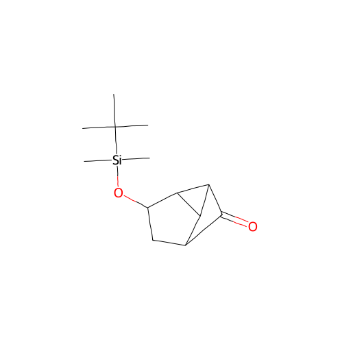 CC(C)(C)[Si](C)(C)OC1CC2C(=O)C3C1C23